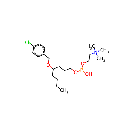 CCCCC(CCCOP(O)OCC[N+](C)(C)C)OCc1ccc(Cl)cc1